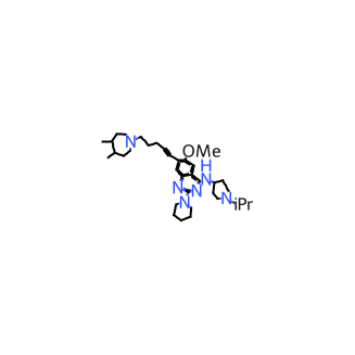 COc1cc2c(NC3CCN(C(C)C)CC3)nc(N3CCCCC3)nc2cc1C#CCCCN1CCC(C)C(C)CC1